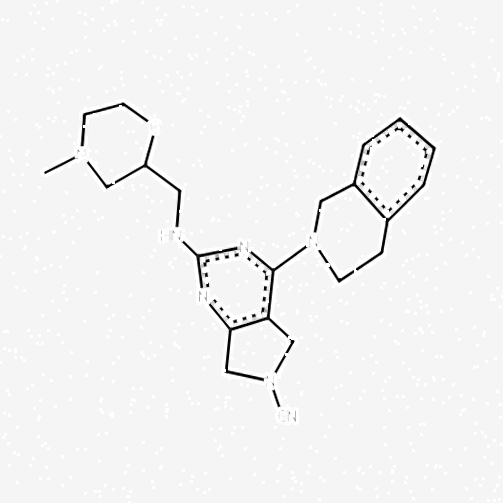 CN1CCOC(CNc2nc3c(c(N4CCc5ccccc5C4)n2)CN(C#N)C3)C1